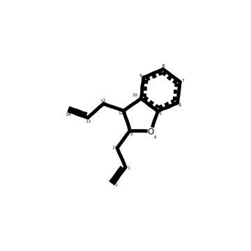 C=CCC1Oc2[c]cccc2C1CC=C